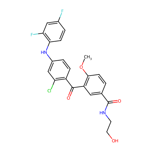 COc1ccc(C(=O)NCCO)cc1C(=O)c1ccc(Nc2ccc(F)cc2F)cc1Cl